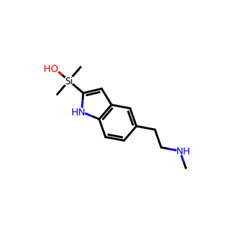 CNCCc1ccc2[nH]c([Si](C)(C)O)cc2c1